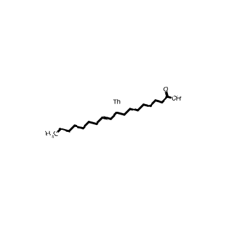 CCCCCCCCCCCCCCCCCC(=O)O.[Th]